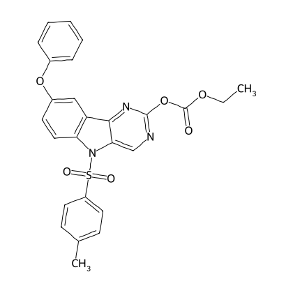 CCOC(=O)Oc1ncc2c(n1)c1cc(Oc3ccccc3)ccc1n2S(=O)(=O)c1ccc(C)cc1